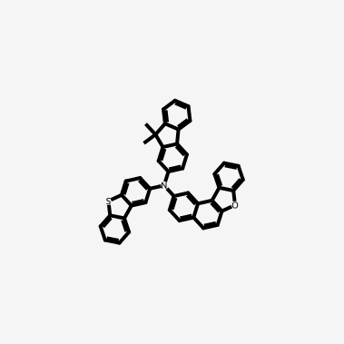 CC1(C)c2ccccc2-c2ccc(N(c3ccc4sc5ccccc5c4c3)c3ccc4ccc5oc6ccccc6c5c4c3)cc21